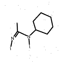 C/C(=N/I)N(I)C1CCCCC1